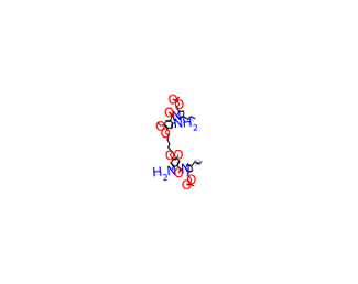 C/C=C/C1=CN(C(=O)c2cc(OC)c(OCCCCCOc3cc(N)c(C(=O)N4C=C(/C=C/C)CC4COC(C)=O)cc3OC)cc2N)C(COC(C)=O)C1